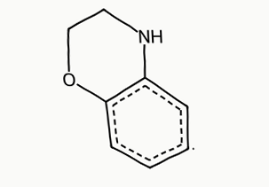 [c]1ccc2c(c1)NCCO2